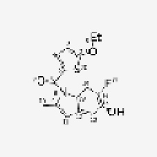 CCOc1ccc(C(=O)N2C(C)=[C]C3=CC(O)=C(F)CC32)s1